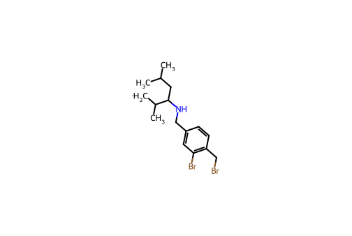 [CH2]C(C)C(CC(C)C)NCc1ccc(CBr)c(Br)c1